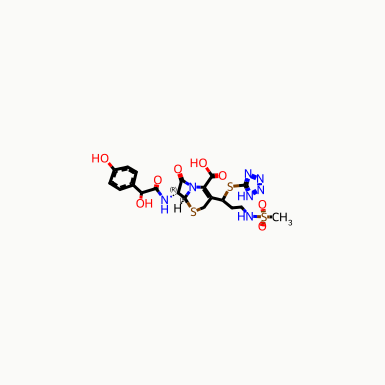 CS(=O)(=O)NCCC(Sc1nnn[nH]1)C1=C(C(=O)O)N2C(=O)[C@@H](NC(=O)C(O)c3ccc(O)cc3)[C@@H]2SC1